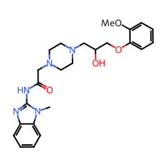 COc1ccccc1OCC(O)CN1CCN(CC(=O)Nc2nc3ccccc3n2C)CC1